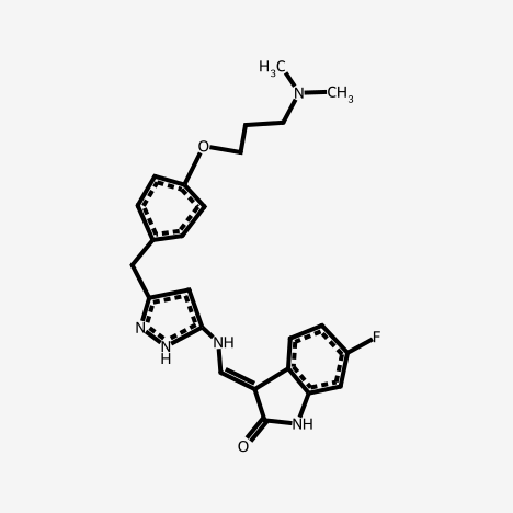 CN(C)CCCOc1ccc(Cc2cc(N/C=C3/C(=O)Nc4cc(F)ccc43)[nH]n2)cc1